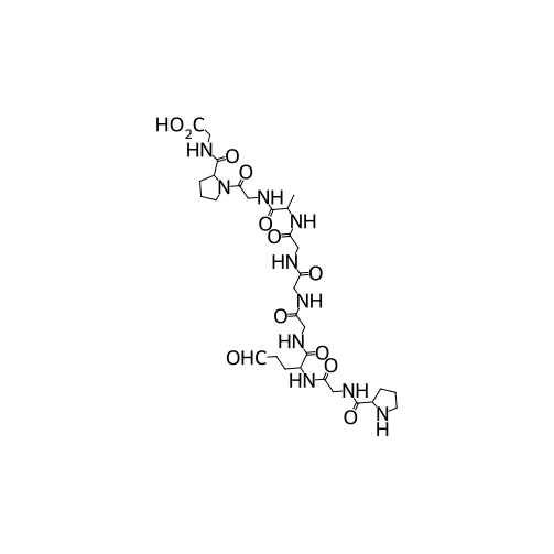 CC(NC(=O)CNC(=O)CNC(=O)CNC(=O)C(CCC=O)NC(=O)CNC(=O)C1CCCN1)C(=O)NCC(=O)N1CCCC1C(=O)NCC(=O)O